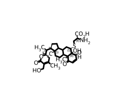 CC1=C(CO)C(=O)O[C@@H]([C@@H](C)[C@H]2CCC3C4C[C@H](SC[C@H](N)C(=O)O)[C@]5(O)[C@@H](O)C=CC(=O)[C@]5(C)C4CC[C@@]32C)C1